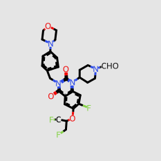 O=CN1CCC(n2c(=O)n(Cc3ccc(N4CCOCC4)cc3)c(=O)c3cc(OC(CF)CF)c(F)cc32)CC1